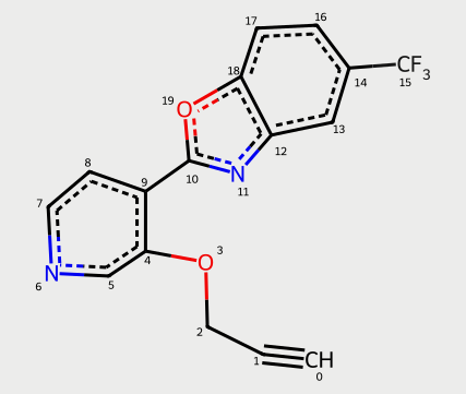 C#CCOc1cnccc1-c1nc2cc(C(F)(F)F)ccc2o1